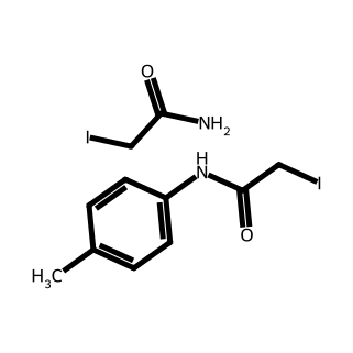 Cc1ccc(NC(=O)CI)cc1.NC(=O)CI